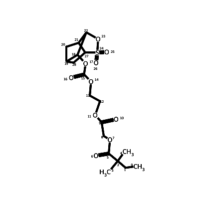 CCC(C)(C)C(=O)OCC(=O)OCCOC(=O)OC1C2CC3C1OS(=O)(=O)C3C2